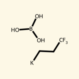 FC(F)(F)C[CH2][K].OB(O)O